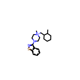 CC1CCCCC1C[N+]1(C)CCN(c2nsc3ccccc23)CC1